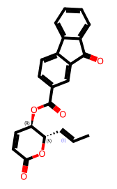 C/C=C/[C@@H]1OC(=O)C=C[C@H]1OC(=O)c1ccc2c(c1)C(=O)c1ccccc1-2